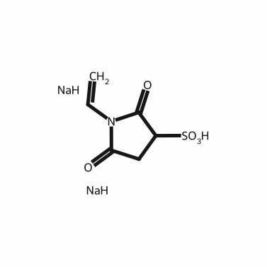 C=CN1C(=O)CC(S(=O)(=O)O)C1=O.[NaH].[NaH]